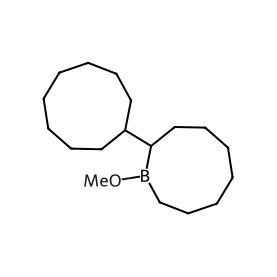 COB1CCCCCCCC1C1CCCCCCCC1